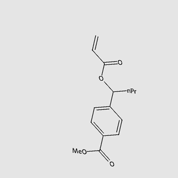 C=CC(=O)OC(CCC)c1ccc(C(=O)OC)cc1